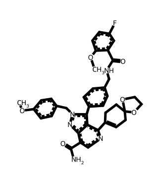 COc1ccc(Cn2nc3c(C(N)=O)cnc(C4=CCC5(CC4)OCCO5)c3c2-c2ccc(CNC(=O)c3cc(F)ccc3OC)cc2)cc1